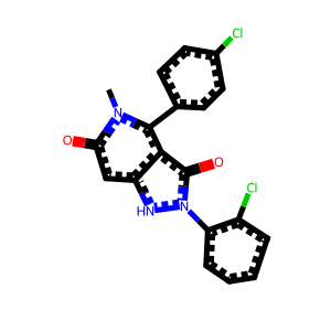 Cn1c(-c2ccc(Cl)cc2)c2c(=O)n(-c3ccccc3Cl)[nH]c2cc1=O